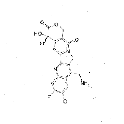 CC[C@@]1(O)C(=O)OCc2c1cc1n(c2=O)Cc2c-1nc1cc(F)c(Cl)cc1c2CN